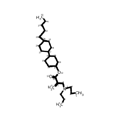 C=C(CN(CCC)CCC)C(=O)OC1CCC(C2CCC(CCCCC)CC2)CC1